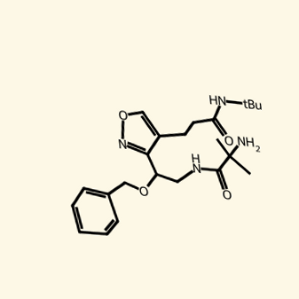 CC(C)(C)NC(=O)CCc1conc1C(CNC(=O)C(C)(C)N)OCc1ccccc1